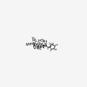 CO[Si](OC)(OC)C(N)CCCCNCc1ccccc1.Cl